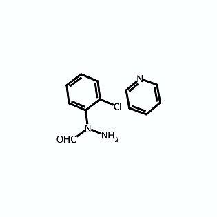 NN(C=O)c1ccccc1Cl.c1ccncc1